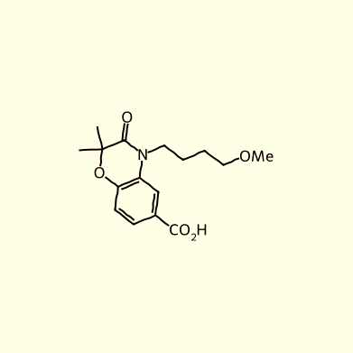 COCCCCN1C(=O)C(C)(C)Oc2ccc(C(=O)O)cc21